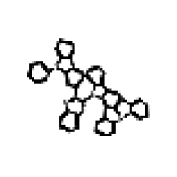 c1ccc(-n2c3ccccc3c3ccc(-c4nc5ccccc5nc4-n4c5ccccc5c5cc6c7ccccc7n7c8ccccc8c(c54)c67)cc32)cc1